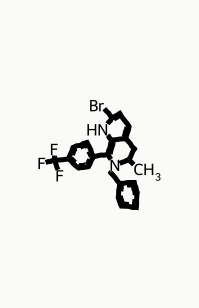 CC1CC2=CC=C(Br)NC2=C(c2ccc(C(F)(F)F)cc2)N1Cc1ccccc1